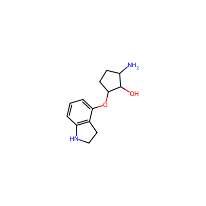 NC1CCC(Oc2cccc3c2CCN3)C1O